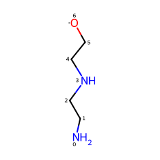 NCCNCC[O]